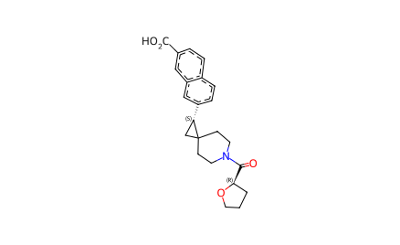 O=C(O)c1ccc2ccc([C@H]3CC34CCN(C(=O)[C@H]3CCCO3)CC4)cc2c1